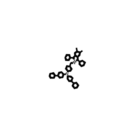 Cc1cc2c(-c3ccccc3)n(N=Cc3ccc(N(c4ccc(-c5ccccc5)cc4)c4ccc(-c5ccccc5)cc4)cc3)c(-c3ccccc3)c2cc1C